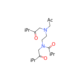 CC(=O)CN(CCN(CC(=O)C(C)C)C(=O)C(C)C)CC(=O)C(C)C